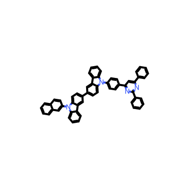 c1ccc(-c2cc(-c3ccc(-n4c5ccccc5c5cc(-c6ccc7c(c6)c6ccccc6n7-c6ccc7ccccc7c6)ccc54)cc3)nc(-c3ccccc3)n2)cc1